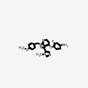 COc1ccc(Cn2nc(-c3cncn3C)c3c(Oc4ccc(N)cc4F)ccnc32)cc1